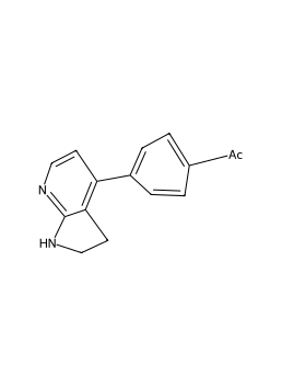 CC(=O)c1ccc(-c2ccnc3c2CCN3)cc1